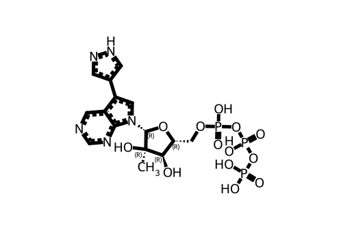 C[C@@]1(O)[C@H](O)[C@@H](COP(=O)(O)OP(=O)(O)OP(=O)(O)O)O[C@H]1n1cc(-c2cn[nH]c2)c2cncnc21